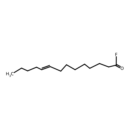 CCCCC=CCCCCCCCC(=O)F